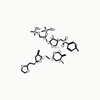 C=C1C[C@H](CCC2OCCO2)O[C@H]1CC[C@H]1C[C@H](C)C(=C)[C@@H](C[C@@H]2O[C@H](C[C@@H](CO[Si](C)(C)C(C)(C)C)O[Si](C)(C)C(C)(C)C)[C@@H](C)[C@H]2CS(=O)(=O)c2ccc(C)cc2)O1